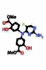 COC(=O)c1ccc(N(c2ccc(C(=O)OC)c(O)c2)c2nc(N)ncc2F)cc1O